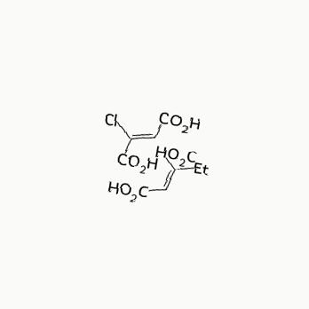 CCC(=CC(=O)O)C(=O)O.O=C(O)C=C(Cl)C(=O)O